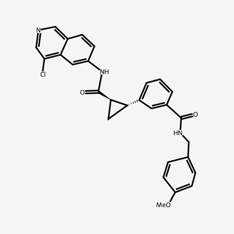 COc1ccc(CNC(=O)c2cccc([C@@H]3C[C@H]3C(=O)Nc3ccc4cncc(Cl)c4c3)c2)cc1